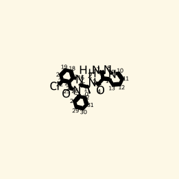 C[C@H](NC(=O)c1c(N)nn2ccccc12)c1nc2cccc(Cl)c2c(=O)n1-c1ccccc1